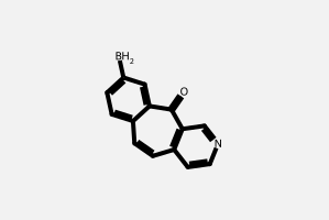 Bc1ccc2ccc3ccncc3c(=O)c2c1